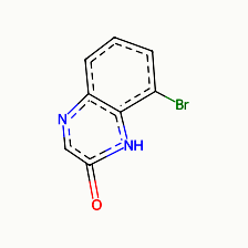 O=c1cnc2cccc(Br)c2[nH]1